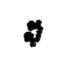 c1ccc(-c2cc(-c3cccc(-c4ccc(-c5ccc(-c6cccc(-c7nc(-c8ccccc8)nc(-c8ccc9c(c8)C8(c%10ccccc%10-c%10ccccc%10-9)c9ccccc9-c9ccccc98)n7)c6)cc5)cc4)c3)nc(-c3ccc4c(c3)-c3ccccc3-c3ccccc3C43c4ccccc4-c4ccccc43)n2)cc1